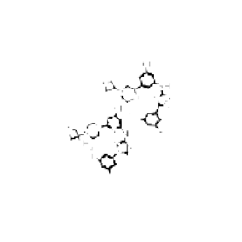 Cc1cc(Nc2n[nH]c(-c3cc(F)cc(F)c3)n2)cc(C2CN(C3COC3)CCO2)c1.Cc1cc(Nc2ncn(-c3cc(F)cc(F)c3)n2)nc(N2CCN(C3(C)COC3)CC2)c1